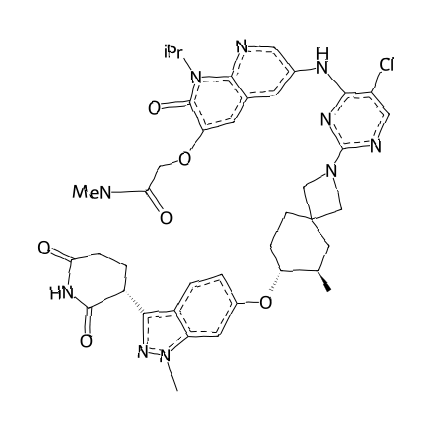 CNC(=O)COc1cc2cc(Nc3nc(N4CC5(CC[C@@H](Oc6ccc7c([C@H]8CCC(=O)NC8=O)nn(C)c7c6)[C@H](C)C5)C4)ncc3Cl)cnc2n(C(C)C)c1=O